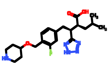 CC(C)C[C@H](C(=O)O)[C@H](Cc1ccc(COC2CCNCC2)c(F)c1)c1nn[nH]n1